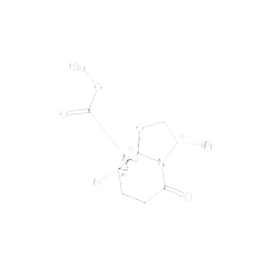 CC(C)[C@H]1CO[C@]23CN(C(=O)OC(C)(C)C)C[C@H]2CCC(=O)N13